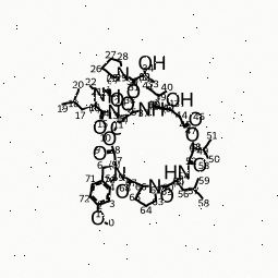 COc1ccc(C[C@H]2C(=O)OC[C@H](NC(=O)[C@@H](CC(C)C)N(C)C(=O)[C@@H]3CCCN3C(=O)[C@H](C)O)C(=O)N[C@H](C(C)C)[C@@H](O)CC(=O)O[C@@H](C(C)C)C(=O)N[C@@H](CC(C)C)C(=O)N3CCCC3C(=O)N2C)cc1